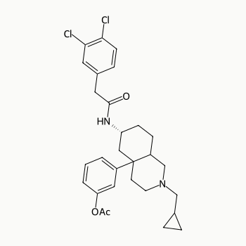 CC(=O)Oc1cccc(C23CCN(CC4CC4)CC2CC[C@@H](NC(=O)Cc2ccc(Cl)c(Cl)c2)C3)c1